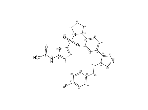 CC(=O)Nc1ncc(S(=O)(=O)N2CCCC2c2ccc(-c3cncn3CCc3ccc(F)cc3)cc2)s1